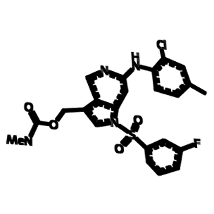 CNC(=O)OCc1cn(S(=O)(=O)c2cccc(F)c2)c2cc(Nc3ccc(C)cc3Cl)ncc12